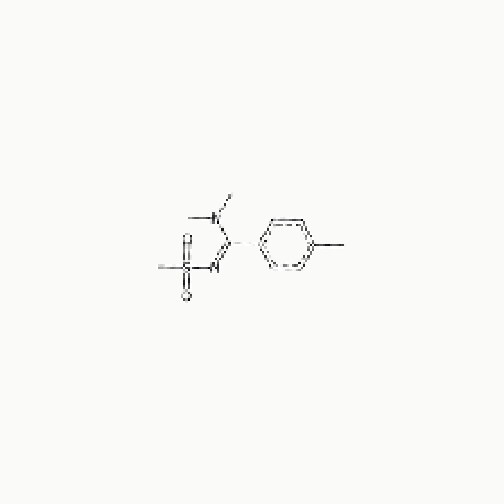 Cc1ccc(/C(=N/S(C)(=O)=O)N(C)C)cc1